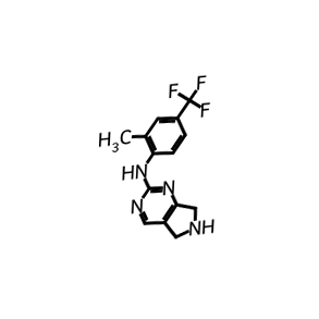 Cc1cc(C(F)(F)F)ccc1Nc1ncc2c(n1)CNC2